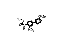 COc1cccc(-c2ccc(NC(=O)OC(C)(C)C)c([N+](=O)[O-])c2)c1